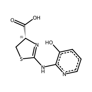 O=C(O)[C@H]1CSC(Nc2ncccc2O)=N1